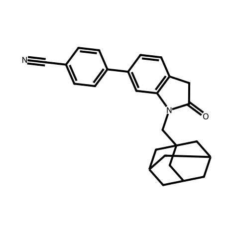 N#Cc1ccc(-c2ccc3c(c2)N(CC24CC5CC(CC(C5)C2)C4)C(=O)C3)cc1